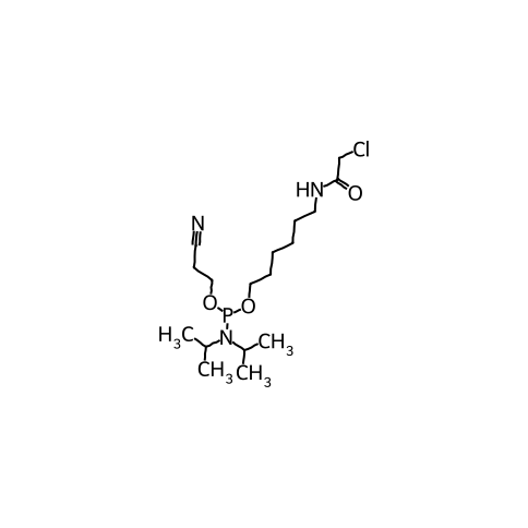 CC(C)N(C(C)C)P(OCCC#N)OCCCCCCNC(=O)CCl